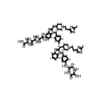 Cc1nc(CCN2CCC(Cc3nc4ccccc4n3Cc3ccc(F)cc3)CC2)cs1.Cc1nc(CCN2CCC(Cc3nc4ccccc4n3Cc3ccc(F)cc3)CC2)cs1.O=C(O)C(=O)O.O=C(O)C(=O)O.O=C(O)C(=O)O.O=C(O)C(=O)O.O=C(O)C(=O)O